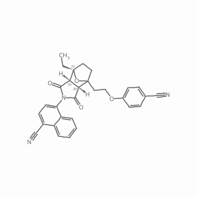 CC[C@@]12CCC(CCOc3ccc(C#N)cc3)(O1)[C@@H]1C(=O)N(c3ccc(C#N)c4ccccc34)C(=O)[C@@H]12